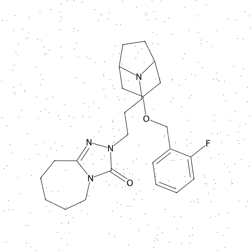 O=c1n(CCCN2C3CCC2CC(OCc2ccccc2F)C3)nc2n1CCCCC2